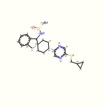 CC(C)(C)[S@@+]([O-])NC1c2ccccc2C[C@]12CC[C@@H](c1cnc(SCC3CC3)cn1)CC2